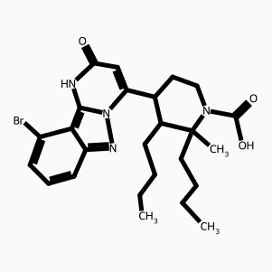 CCCCC1C(c2cc(=O)[nH]c3c4c(Br)cccc4nn23)CCN(C(=O)O)C1(C)CCCC